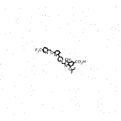 Cn1c(CN2CCC(c3cccc(OCc4ccc(C(F)(F)F)cn4)n3)CC2)nc2c(OC(F)F)cc(C(=O)O)cc21